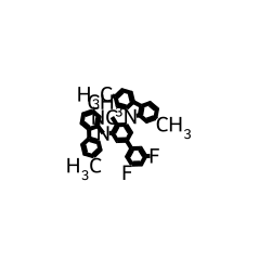 Cc1ccc2c3ccc(C)cc3n(-c3cc(-c4cc(F)cc(F)c4)cc(-n4c5cc(C)ccc5c5ccc(C)cc54)c3C#N)c2c1